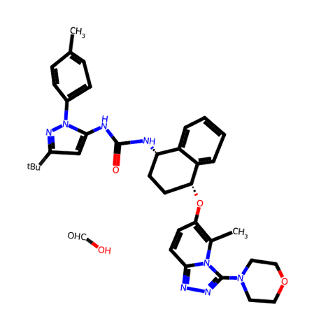 Cc1ccc(-n2nc(C(C)(C)C)cc2NC(=O)N[C@H]2CC[C@@H](Oc3ccc4nnc(N5CCOCC5)n4c3C)c3ccccc32)cc1.O=CO